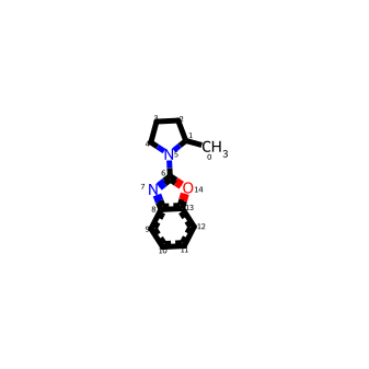 CC1CCCN1c1nc2ccccc2o1